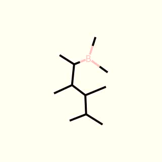 CB(C)C(C)C(C)C(C)C(C)C